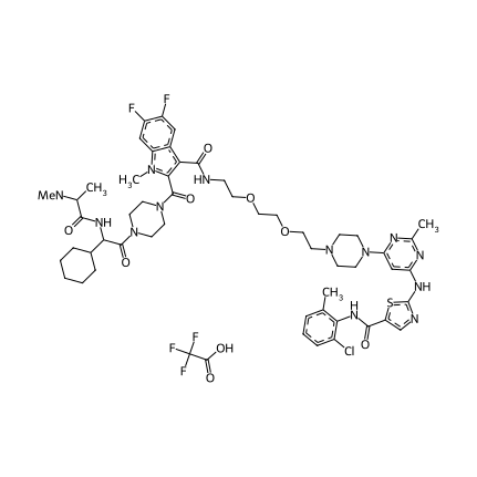 CNC(C)C(=O)NC(C(=O)N1CCN(C(=O)c2c(C(=O)NCCOCCOCCN3CCN(c4cc(Nc5ncc(C(=O)Nc6c(C)cccc6Cl)s5)nc(C)n4)CC3)c3cc(F)c(F)cc3n2C)CC1)C1CCCCC1.O=C(O)C(F)(F)F